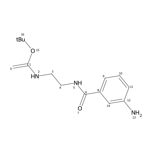 C=C(NCCNC(=O)c1cccc(N)c1)OC(C)(C)C